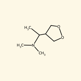 CC(C1COOC1)N(C)C